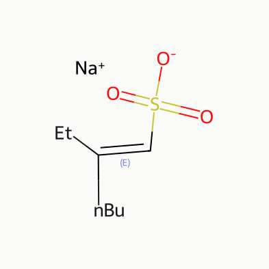 CCCC/C(=C/S(=O)(=O)[O-])CC.[Na+]